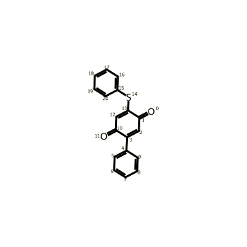 O=C1C=C(c2ccccc2)C(=O)C=C1Sc1ccccc1